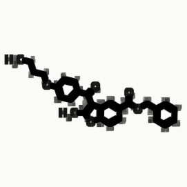 CCCCOc1ccc(C(=O)c2c(C)oc3ccc(C(=O)OCc4ccccc4)cc23)cc1